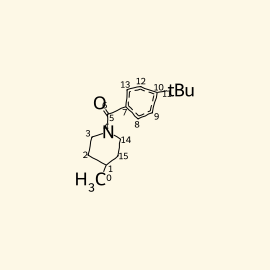 CC1CCN(C(=O)c2ccc(C(C)(C)C)cc2)CC1